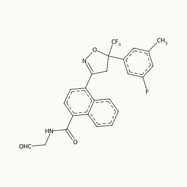 Cc1cc(F)cc(C2(C(F)(F)F)CC(c3ccc(C(=O)NCC=O)c4ccccc34)=NO2)c1